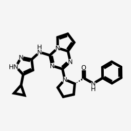 O=C(Nc1ccccc1)[C@@H]1CCCN1c1nc(Nc2cc(C3CC3)[nH]n2)n2cccc2n1